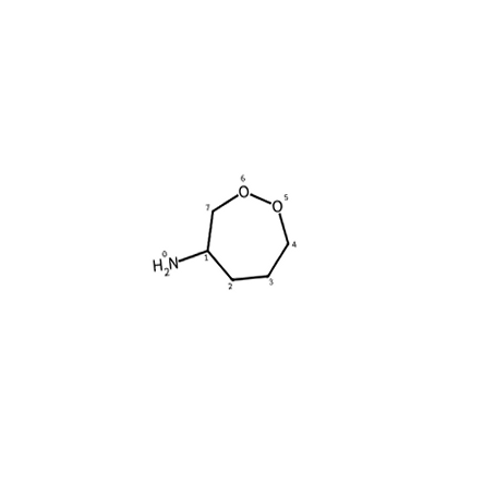 NC1CCCOOC1